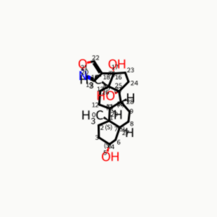 C[C@]12CC[C@H](O)C[C@@H]1CC[C@@H]1[C@@H]2CC[C@]2(C)[C@@](O)(c3cnoc3)CC[C@]12O